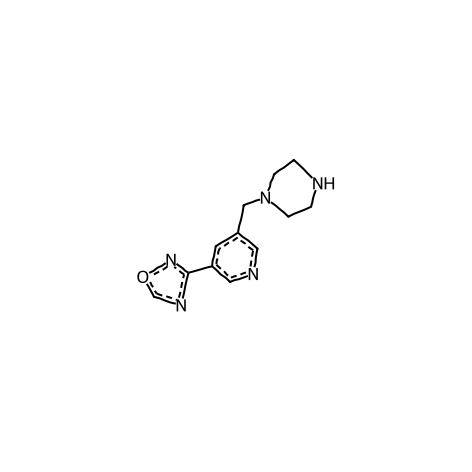 c1nc(-c2cncc(CN3CCNCC3)c2)no1